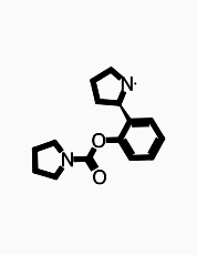 O=C(Oc1ccccc1[C@H]1CCC[N]1)N1CCCC1